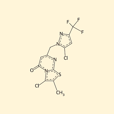 Cc1sc2nc(Cn3nc(C(F)(F)F)cc3Cl)cc(=O)n2c1Cl